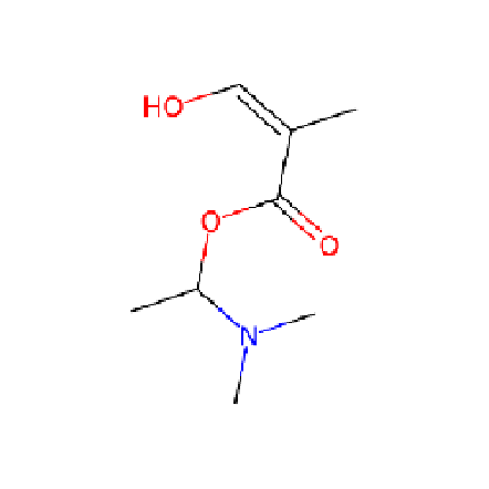 CC(=CO)C(=O)OC(C)N(C)C